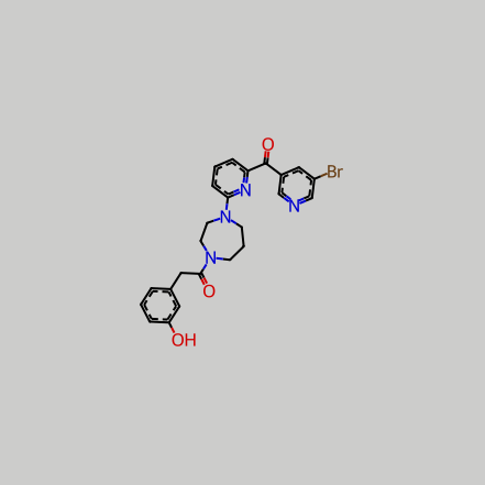 O=C(c1cncc(Br)c1)c1cccc(N2CCCN(C(=O)Cc3cccc(O)c3)CC2)n1